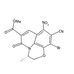 COC(=O)c1cc2c([N+](=O)[O-])c(C#N)c(Br)c3c2n(c1=O)[C@@H](C)CO3